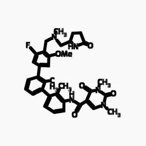 COc1cc(-c2cccc(-c3cccc(NC(=O)c4cn(C)c(=O)n(C)c4=O)c3C)c2C)cc(F)c1CN(C)CC1CCC(=O)N1